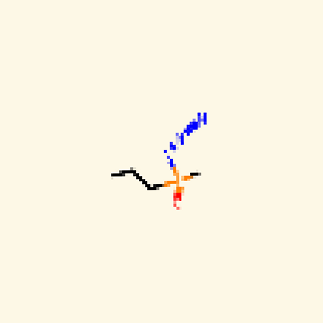 CCCP(C)(=O)N=[N+]=[N-]